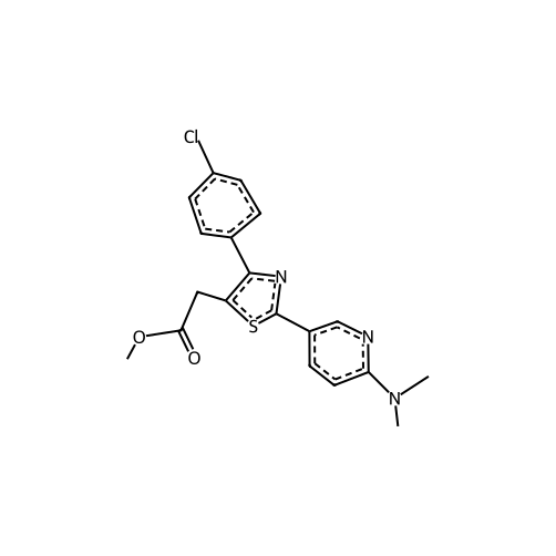 COC(=O)Cc1sc(-c2ccc(N(C)C)nc2)nc1-c1ccc(Cl)cc1